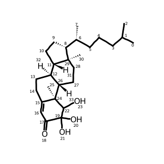 CC(C)CCC[C@@H](C)[C@H]1CC[C@H]2[C@@H]3CCC4=CC(=O)C(O)(O)C(O)[C@]4(C)[C@H]3CC[C@]12C